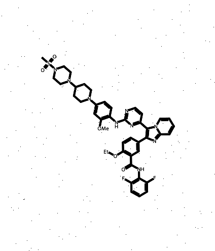 CCOc1ccc(-c2nc3ccccn3c2-c2ccnc(Nc3ccc(N4CCC(N5CCN(S(C)(=O)=O)CC5)CC4)cc3OC)n2)cc1C(=O)Nc1c(F)cccc1F